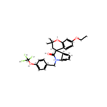 CCOc1ccc2c(c1)OC(C)(C)CC21C(=O)N(Cc2ccc(OC(F)(F)F)cc2)c2ccccc21